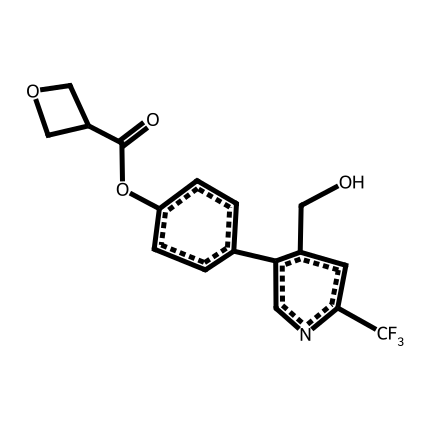 O=C(Oc1ccc(-c2cnc(C(F)(F)F)cc2CO)cc1)C1COC1